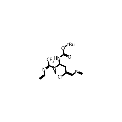 C=C/N=C(\N(C)C(C/C(Cl)=C\N=C)NC(=O)OC(C)(C)C)C(F)(F)F